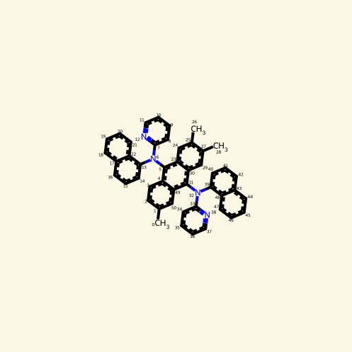 Cc1ccc2c(N(c3ccccn3)c3cccc4ccccc34)c3cc(C)c(C)cc3c(N(c3ccccn3)c3cccc4ccccc34)c2c1